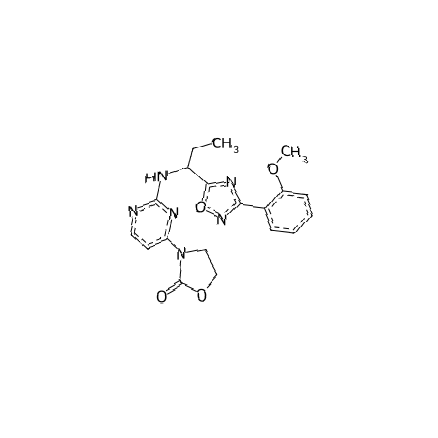 CCC(Nc1nccc(N2CCOC2=O)n1)c1nc(-c2ccccc2OC)no1